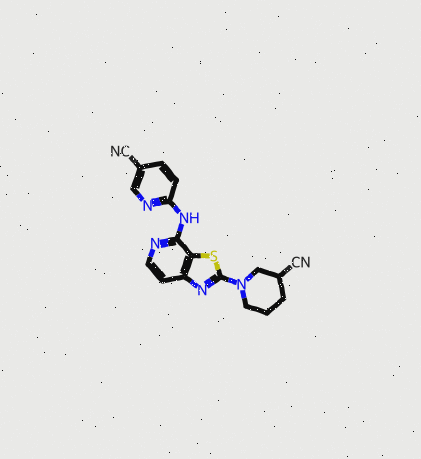 N#Cc1ccc(Nc2nccc3nc(N4CCCC(C#N)C4)sc23)nc1